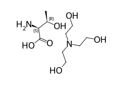 C[C@@H](O)[C@H](N)C(=O)O.OCCN(CCO)CCO